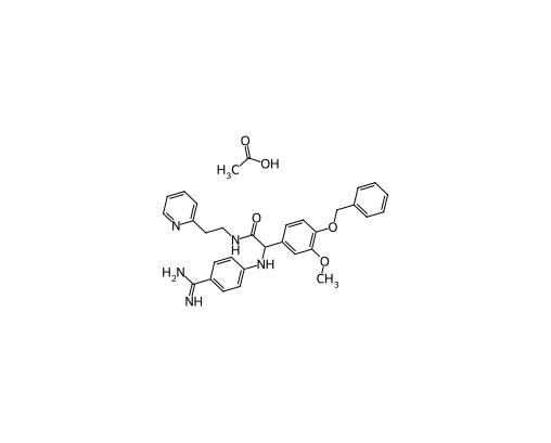 CC(=O)O.COc1cc(C(Nc2ccc(C(=N)N)cc2)C(=O)NCCc2ccccn2)ccc1OCc1ccccc1